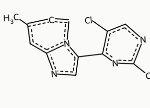 Cc1ccn2c(-c3nc(Cl)ncc3Cl)cnc2c1